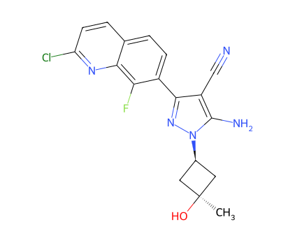 C[C@]1(O)C[C@@H](n2nc(-c3ccc4ccc(Cl)nc4c3F)c(C#N)c2N)C1